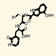 COC(=O)C(Cc1ccc[nH]c1=O)NC(=O)[C@H](CC(C)C)NC(=O)c1cc2c(OC)cccc2[nH]1